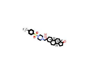 C[C@]12CCC(O)(CN3CCN(S(=O)(=O)c4ccc(C(F)(F)F)cc4)CC3)CC1CC[C@@H]1[C@H]2CC[C@]2(C)C(=O)CC[C@@H]12